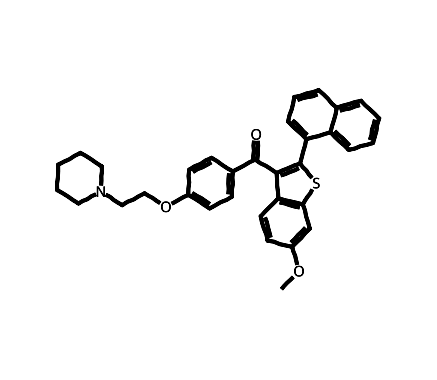 COc1ccc2c(C(=O)c3ccc(OCCN4CCCCC4)cc3)c(-c3cccc4ccccc34)sc2c1